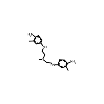 Cc1cc(NCCN(C)CCNc2ccc(N)c(C)c2)ccc1N